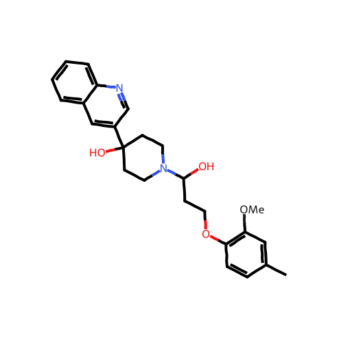 COc1cc(C)ccc1OCCC(O)N1CCC(O)(c2cnc3ccccc3c2)CC1